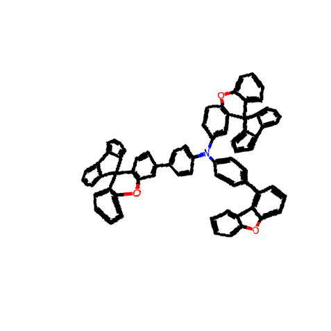 c1ccc2c(c1)Oc1cc(-c3ccc(N(c4ccc(-c5cccc6oc7ccccc7c56)cc4)c4ccc5c(c4)C4(c6ccccc6O5)c5ccccc5-c5ccccc54)cc3)ccc1C21c2ccccc2-c2ccccc21